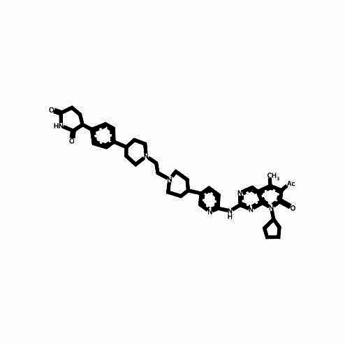 CC(=O)c1c(C)c2cnc(Nc3ccc(C4CCN(CCN5CCC(c6ccc(C7CCC(=O)NC7=O)cc6)CC5)CC4)cn3)nc2n(C2CCCC2)c1=O